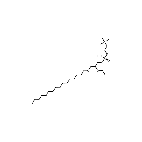 CCCCCCCCCCCCCCCCOCC(COP(=O)(O)OCC[N+](C)(C)C)OCC